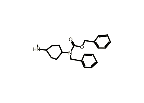 CNC1CCC(N(Cc2ccccc2)C(=O)OCc2ccccc2)CC1